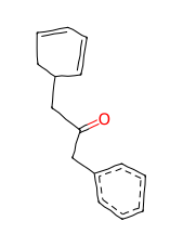 O=C(Cc1ccccc1)CC1C=CC=CC1